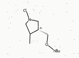 CCCCOC[C@H]1CN(Cl)CC1C